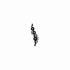 CCCCOc1ccc(COC2CCC(c3ccc(CCC)cc3)OC2)c(F)c1F